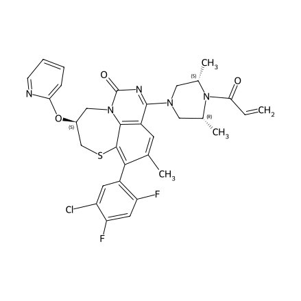 C=CC(=O)N1[C@H](C)CN(c2nc(=O)n3c4c(c(-c5cc(Cl)c(F)cc5F)c(C)cc24)SC[C@@H](Oc2ccccn2)C3)C[C@@H]1C